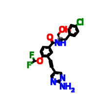 Nc1ncc(C#Cc2cc(C(=O)N[C@H](CO)Cc3ccc(Cl)cc3)ccc2OC(F)F)cn1